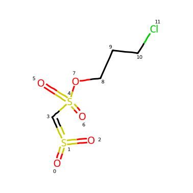 O=S(=O)=CS(=O)(=O)OCCCCl